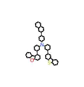 c1cc(-c2ccc3sc4ccccc4c3c2)cc(N(c2ccc(-c3ccc4ccccc4c3)cc2)c2cccc(-c3cccc4oc5ccccc5c34)c2)c1